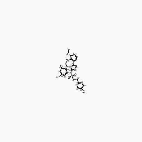 COc1nccc2c1OC[C@@H](c1ccc(F)cc1F)n1c(NS(=O)(=O)CCc3ncc(Cl)cn3)nnc1-2